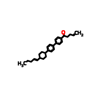 C=CCCC(=O)c1ccc(-c2ccc(C3CCC(C=CCCC)CC3)cc2)cc1